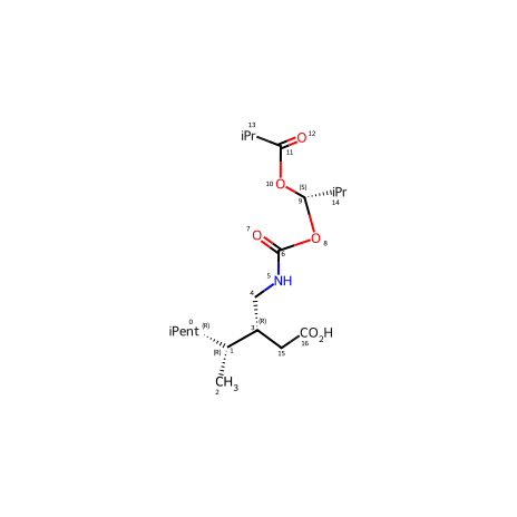 CCC[C@@H](C)[C@@H](C)[C@H](CNC(=O)O[C@H](OC(=O)C(C)C)C(C)C)CC(=O)O